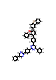 c1ccc(-c2cnc(-c3ccc(-c4nc(-c5ccccc5)cc(-c5ccc(-c6ccc(-c7ccc8sc9ccccc9c8c7)c7oc8ccccc8c67)cc5)n4)cc3)nc2)cc1